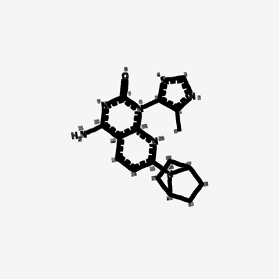 Cc1ncsc1-n1c(=O)nc(N)c2ccc(N3C4CCC3CC4)nc21